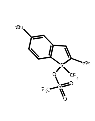 CCCC1=Cc2cc(C(C)(C)C)ccc2S1(OS(=O)(=O)C(F)(F)F)C(F)(F)F